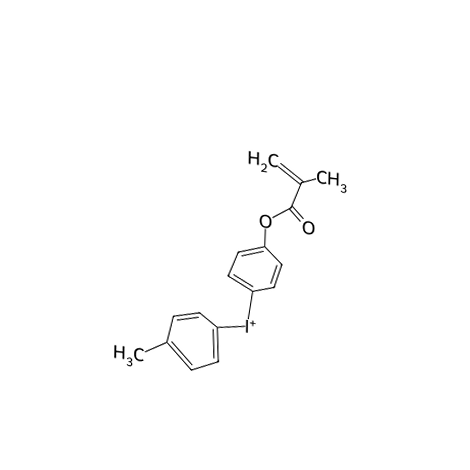 C=C(C)C(=O)Oc1ccc([I+]c2ccc(C)cc2)cc1